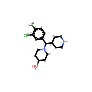 OC1CCN(C(c2ccc(Cl)c(Cl)c2)C2CCNCC2)CC1